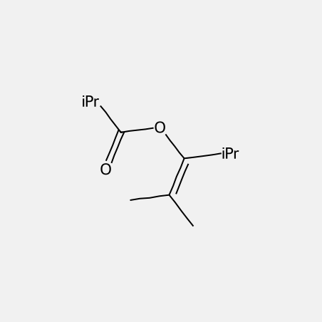 CC(C)=C(OC(=O)C(C)C)C(C)C